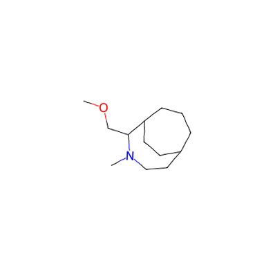 COCC1C2CCCC(CC2)CCN1C